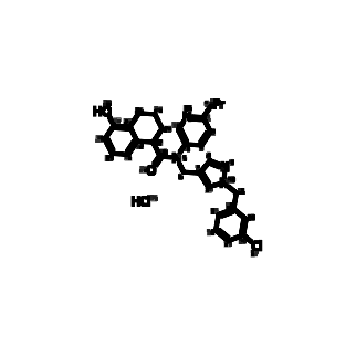 CC(C)c1ccc(N(Cc2cnn(Cc3cccc(Cl)c3)c2)C(=O)C2CCCc3c(O)cccc32)cn1.Cl